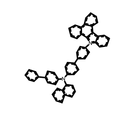 c1ccc(-c2ccc(N(c3ccc(-c4ccc(-n5c6ccccc6c6c7ccccc7c7ccccc7c65)cc4)cc3)c3cccc4ccccc34)cc2)cc1